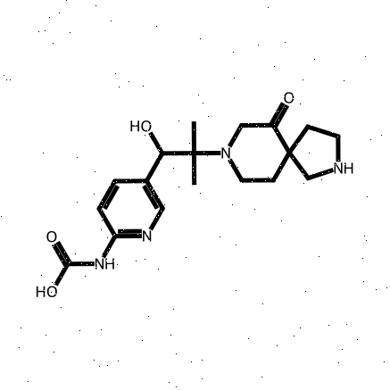 CC(C)(C(O)c1ccc(NC(=O)O)nc1)N1CCC2(CCNC2)C(=O)C1